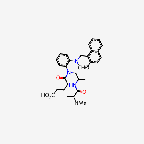 CN[C@@H](C)C(=O)NC(C)CN(C(=O)CCCC(=O)O)c1ccccc1N(C=O)Cc1c(C)ccc2ccccc12